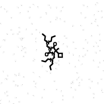 CCCN(CCC)CN1C(=O)N(CN(CCC)CCC)C(C)(C2CCC2)C1=O